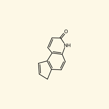 O=c1ccc2c3c(ccc2[nH]1)CC=C3